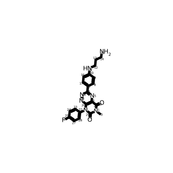 Cn1c(=O)c2nc(-c3ccc(NCCCN)cc3)nnc2n(-c2ccc(F)cc2)c1=O